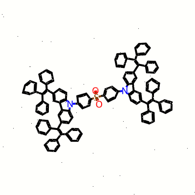 O=S(=O)(c1ccc(-n2c3ccc(C(=C(c4ccccc4)c4ccccc4)c4ccccc4)cc3c3cc(C(=C(c4ccccc4)c4ccccc4)c4ccccc4)ccc32)cc1)c1ccc(-n2c3ccc(C(=C(c4ccccc4)c4ccccc4)c4ccccc4)cc3c3cc(C(=C(c4ccccc4)c4ccccc4)c4ccccc4)ccc32)cc1